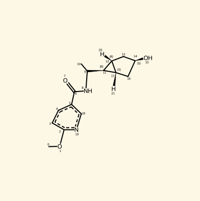 COc1ccc(C(=O)NC(C)[C@H]2[C@@H]3C[C@@H](O)C[C@@H]32)cn1